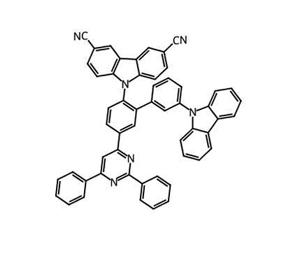 N#Cc1ccc2c(c1)c1cc(C#N)ccc1n2-c1ccc(-c2cc(-c3ccccc3)nc(-c3ccccc3)n2)cc1-c1cccc(-n2c3ccccc3c3ccccc32)c1